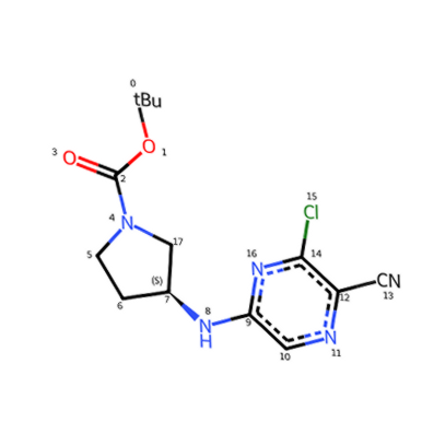 CC(C)(C)OC(=O)N1CC[C@H](Nc2cnc(C#N)c(Cl)n2)C1